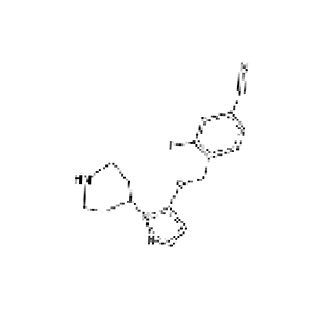 N#Cc1ccc(CSc2ccnn2C2CCNCC2)c(F)c1